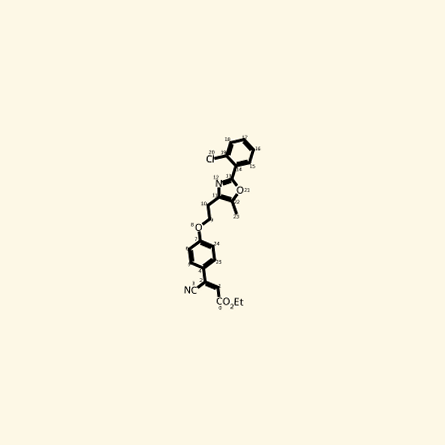 CCOC(=O)C=C(C#N)c1ccc(OCCc2nc(-c3ccccc3Cl)oc2C)cc1